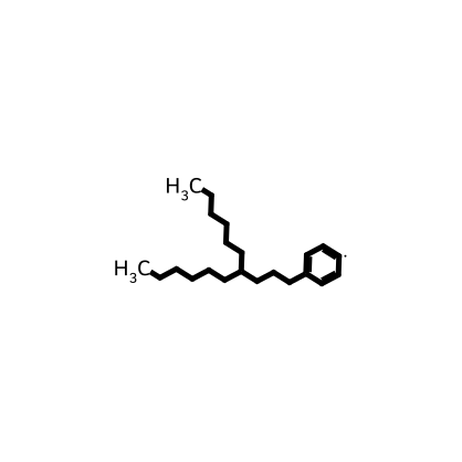 CCCCCCC(CCCCCC)CCCc1cc[c]cc1